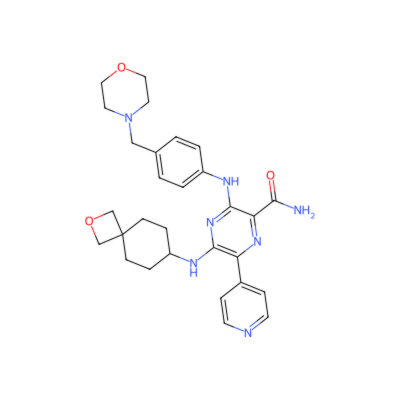 NC(=O)c1nc(-c2ccncc2)c(NC2CCC3(CC2)COC3)nc1Nc1ccc(CN2CCOCC2)cc1